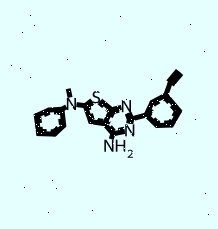 C#Cc1cccc(-c2nc(N)c3cc(N(C)c4ccccc4)sc3n2)c1